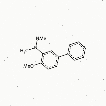 CNN(C)c1cc(-c2ccccc2)ccc1OC